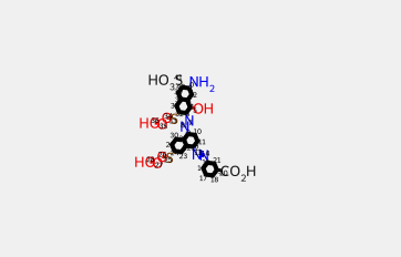 Nc1cc2c(O)c(N=Nc3ccc(N=Nc4cccc(C(=O)O)c4)c4cc(SOOO)ccc34)c(SOOO)cc2cc1S(=O)(=O)O